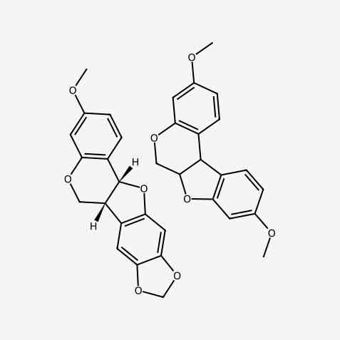 COc1ccc2c(c1)OCC1Oc3cc(OC)ccc3C21.COc1ccc2c(c1)OC[C@H]1c3cc4c(cc3O[C@@H]21)OCO4